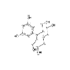 OCCOCCO.OCCOCCO.Oc1cccc(O)c1